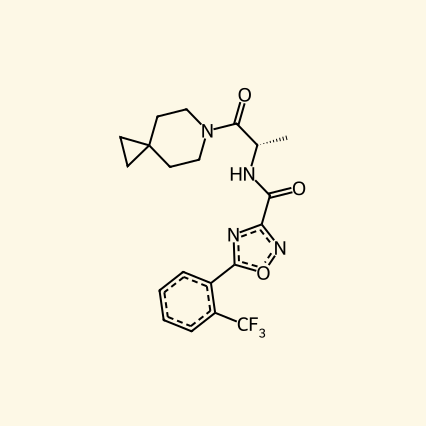 C[C@H](NC(=O)c1noc(-c2ccccc2C(F)(F)F)n1)C(=O)N1CCC2(CC1)CC2